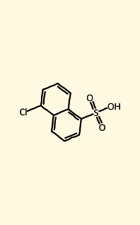 O=S(=O)(O)c1cccc2c(Cl)cccc12